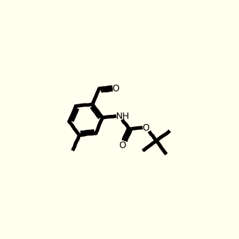 Cc1ccc(C=O)c(NC(=O)OC(C)(C)C)c1